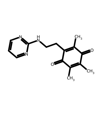 CC1=C(C)C(=O)C(CCNc2ncccn2)=C(C)C1=O